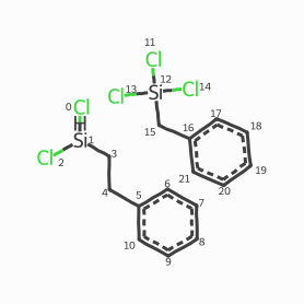 Cl[SiH](Cl)CCc1ccccc1.Cl[Si](Cl)(Cl)Cc1ccccc1